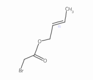 C/C=C/COC(=O)CBr